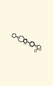 O=C1OCCN1c1ccc(-n2cc3c(n2)CCN(C2CCCC2)CC3)cc1